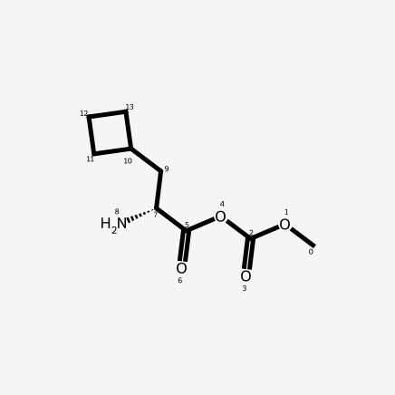 COC(=O)OC(=O)[C@H](N)CC1CCC1